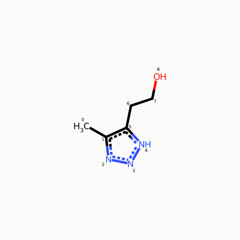 Cc1nn[nH]c1CCO